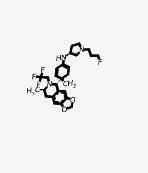 C[C@@H]1Cc2cc3c(cc2[C@@H](C2(C)C=CC(N[C@H]4CCN(CCCF)C4)=CC2)N1CC(F)(F)F)OCO3